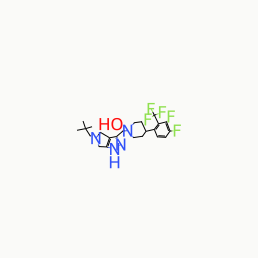 CC(C)(C)CN1Cc2[nH]nc(C(O)N3CCC(c4ccc(F)c(F)c4C(F)(F)F)CC3)c2C1